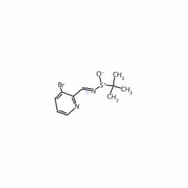 CC(C)(C)[S+]([O-])/N=C/c1ncccc1Br